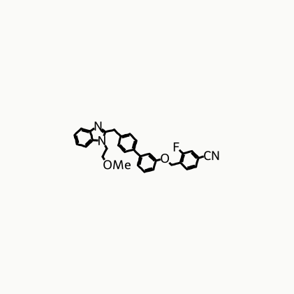 COCCn1c(Cc2ccc(-c3cccc(OCc4ccc(C#N)cc4F)c3)cc2)nc2ccccc21